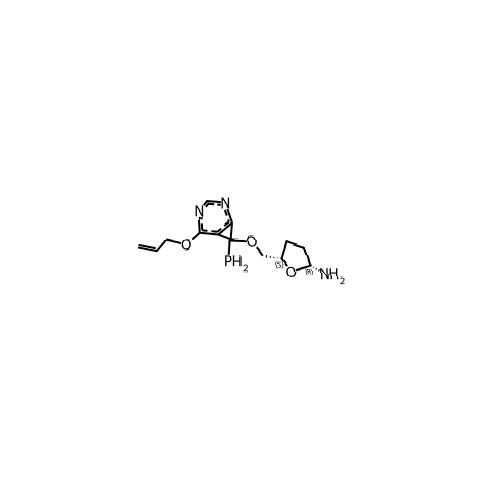 C=CCOc1ncnc2c1C2(P)OC[C@@H]1CC[C@H](N)O1